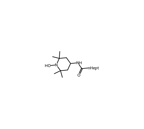 CCCCCCCC(=O)NC1CC(C)(C)N(O)C(C)(C)C1